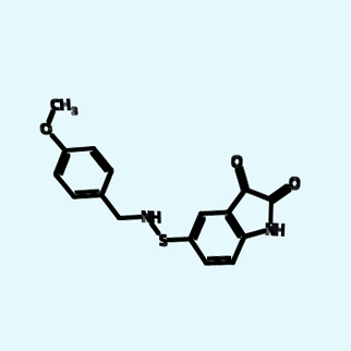 COc1ccc(CNSc2ccc3c(c2)C(=O)C(=O)N3)cc1